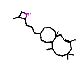 C/C1=C\CC2(C)CCCC(CCCC3PCC3C)CCC2C(C)CCC(C)(C)C1